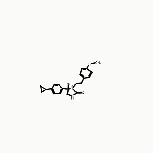 COc1ccc(CCN2C(=O)NCC2(N)c2ccc(C3CC3)cc2)cc1